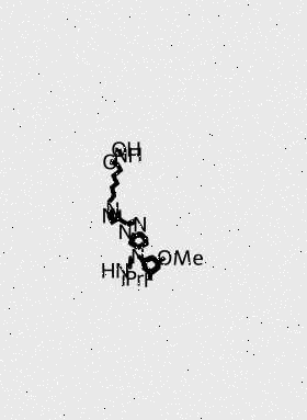 COc1cc(F)cc(N(CCNC(C)C)c2ccc3ncc(-c4cnn(CCCCCCC(=O)NO)c4)nc3c2)c1